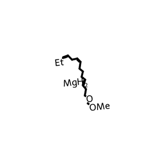 CC/C=C\C/C=C\CCC/C=C/CCOCOC.[MgH2]